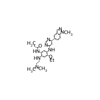 C=CC(=O)Nc1cc(Nc2cc(-c3ccc4c(cnn4C)c3)ncn2)c(OCC)cc1NCCN(C)C